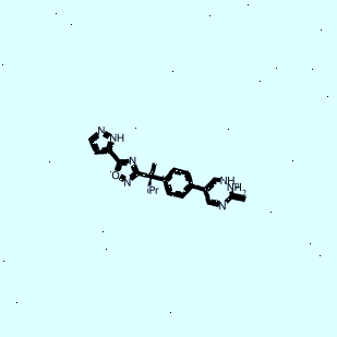 C=C(N)/N=C\C(=C/N)c1ccc([C@@](C)(c2noc(-c3ccn[nH]3)n2)C(C)C)cc1